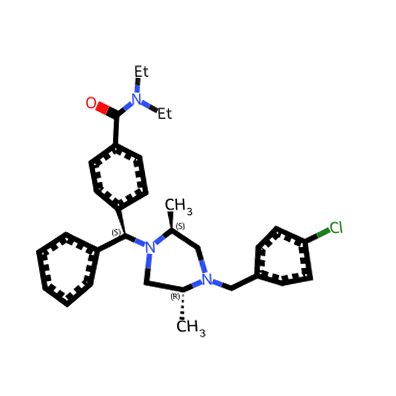 CCN(CC)C(=O)c1ccc([C@H](c2ccccc2)N2C[C@@H](C)N(Cc3ccc(Cl)cc3)C[C@@H]2C)cc1